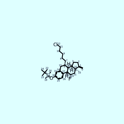 C=C1CC[C@H]2[C@@H]3[C@H](CCCCCCl)Cc4cc(O[Si](C)(C)C(C)(C)C)ccc4[C@H]3[C@@H](F)C[C@]12C